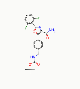 CC(C)(C)OC(=O)NCc1ccc(-c2oc(-c3c(F)cccc3F)nc2C(N)=O)cc1